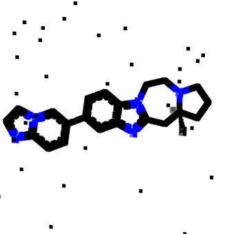 c1cn2cc(-c3ccc4c(c3)nc3n4CCN4CCC[C@H]4C3)ccc2n1